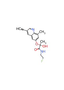 C#Cc1cnc2c(C)cc(OC(C)(O)C(=O)NCCF)cc2c1